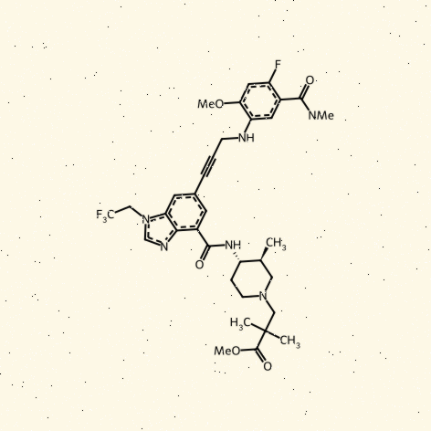 CNC(=O)c1cc(NCC#Cc2cc(C(=O)N[C@H]3CCN(CC(C)(C)C(=O)OC)C[C@@H]3C)c3ncn(CC(F)(F)F)c3c2)c(OC)cc1F